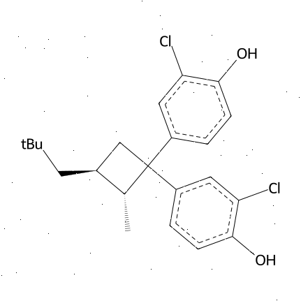 C[C@@H]1[C@@H](CC(C)(C)C)CC1(c1ccc(O)c(Cl)c1)c1ccc(O)c(Cl)c1